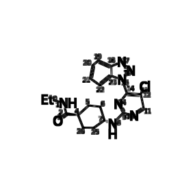 CCNC(=O)[C@H]1CC[C@H](Nc2ncc(Cl)c(-n3nnc4ccccc43)n2)CC1